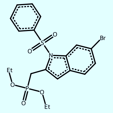 CCOP(=O)(Cc1cc2ccc(Br)cc2n1S(=O)(=O)c1ccccc1)OCC